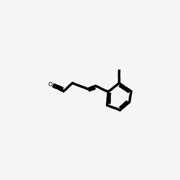 Cc1ccccc1C=CC[C]=O